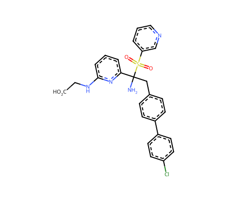 NC(Cc1ccc(-c2ccc(Cl)cc2)cc1)(c1cccc(NCC(=O)O)n1)S(=O)(=O)c1cccnc1